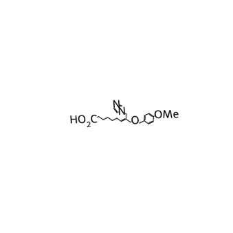 COc1ccc(COC/C(=C/CCCCCC(=O)O)Cn2ccnc2)cc1